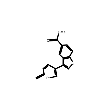 C=C/C=C\C(=C/CC)c1csc2ccc(C(=O)OC)cc12